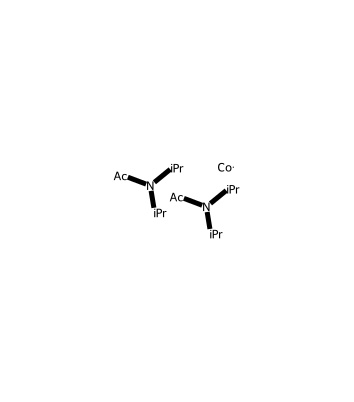 CC(=O)N(C(C)C)C(C)C.CC(=O)N(C(C)C)C(C)C.[Co]